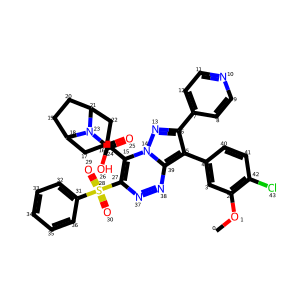 COc1cc(-c2c(-c3ccncc3)nn3c(C4CC5CCC(C4)N5C(=O)O)c(S(=O)(=O)c4ccccc4)nnc23)ccc1Cl